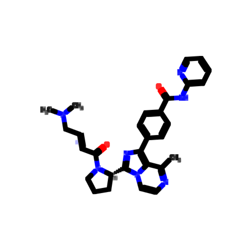 Cc1nccn2c([C@@H]3CCCN3C(=O)/C=C/CN(C)C)nc(-c3ccc(C(=O)Nc4ccccn4)cc3)c12